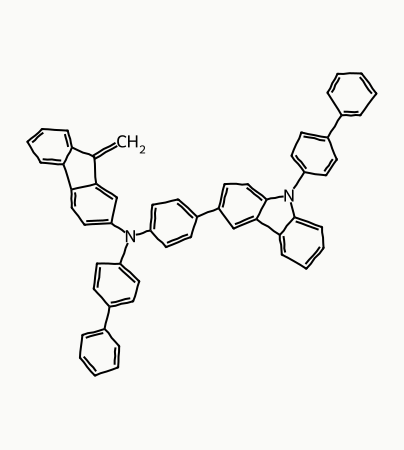 C=C1c2ccccc2-c2ccc(N(c3ccc(-c4ccccc4)cc3)c3ccc(-c4ccc5c(c4)c4ccccc4n5-c4ccc(-c5ccccc5)cc4)cc3)cc21